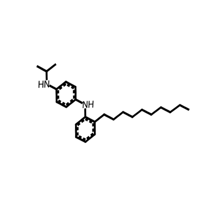 CCCCCCCCCCc1ccccc1Nc1ccc(NC(C)C)cc1